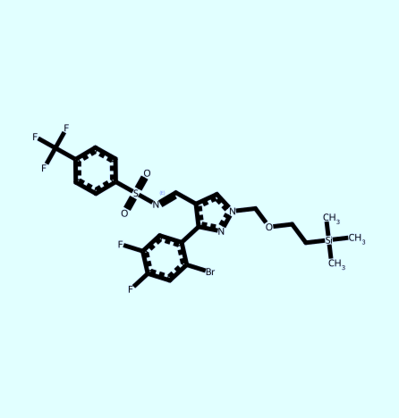 C[Si](C)(C)CCOCn1cc(/C=N/S(=O)(=O)c2ccc(C(F)(F)F)cc2)c(-c2cc(F)c(F)cc2Br)n1